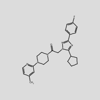 Cc1ccnc(N2CCN(C(=O)Cn3nc(-c4ccc(F)cc4)nc3C3CCCC3)CC2)c1